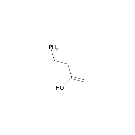 C=C(O)CCP